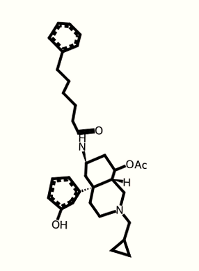 CC(=O)OC1C[C@H](NC(=O)CCCCCc2ccccc2)C[C@]2(c3cccc(O)c3)CCN(CC3CC3)C[C@@H]12